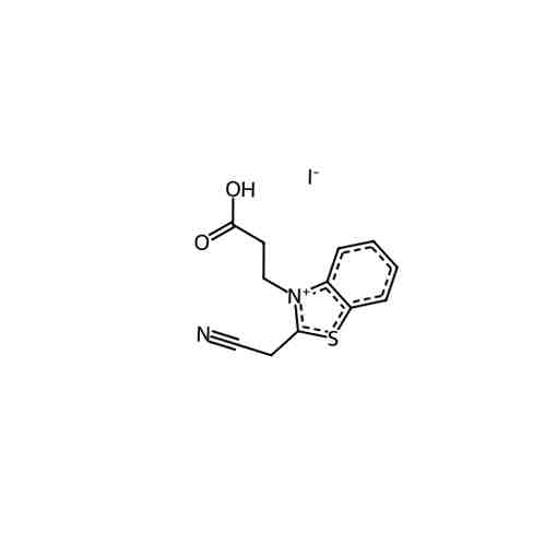 N#CCc1sc2ccccc2[n+]1CCC(=O)O.[I-]